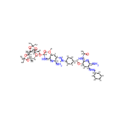 COc1cc(/N=N/c2ccc(COc3cc(/N=N/c4ccccc4)c(N)nc3NC(C)=O)cc2)c(N)nc1NC(=O)OC[C@@]12OC[C@H]3OC(C)(C)O[C@H]3[C@@H]1OC(C)(C)O2